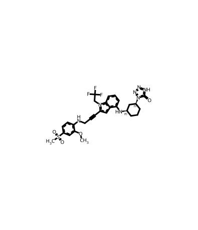 COc1cc(S(C)(=O)=O)ccc1NCC#Cc1cc2c(N[C@@H]3CCC[C@H](n4nn[nH]c4=O)C3)cccc2n1CC(F)(F)F